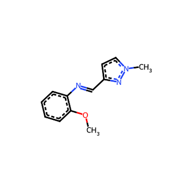 COc1ccccc1N=Cc1ccn(C)n1